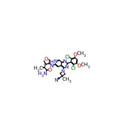 C=C(C(N)=O)[C@H]1COC[C@H]1Nc1cc2c(N3CC(C)(C#N)C3)nc(-c3c(Cl)c(OC)cc(OC)c3Cl)nc2cn1